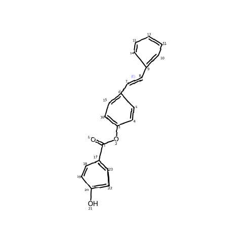 O=C(Oc1ccc(/C=C/c2ccccc2)cc1)c1ccc(O)cc1